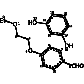 CCOCCOc1ccc(C=O)cc1.Oc1c[c]cc(O)c1